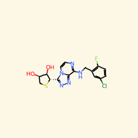 O[C@@H]1[C@H](O)CS[C@H]1c1nnc2c(NCc3cc(Cl)ccc3F)nccn12